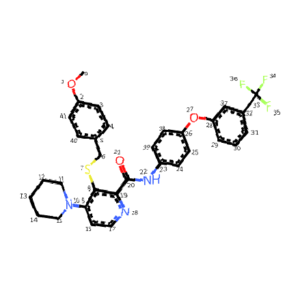 COc1ccc(CSc2c(N3CCCCC3)ccnc2C(=O)Nc2ccc(Oc3cccc(C(F)(F)F)c3)cc2)cc1